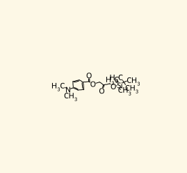 CN(C)c1ccc(C(=O)OCC(=O)CO[Si](C)(C)C(C)(C)C)cc1